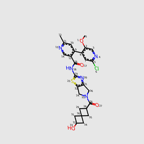 COc1cnc(Cl)cc1-c1cc(C)ncc1C(=O)Nc1nc2c(s1)CN(C(=O)C1CC3(CC(O)C3)C1)C2